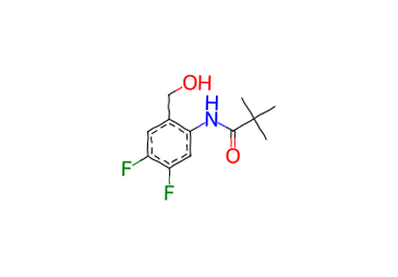 CC(C)(C)C(=O)Nc1cc(F)c(F)cc1CO